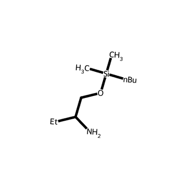 CCCC[Si](C)(C)OCC(N)CC